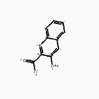 CC(=O)Oc1cc2ccccc2nc1C(=O)Cl